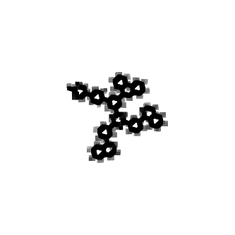 Cc1ncc(-c2ccc(-c3cc(-c4nc(-c5cccc(-c6nccc7ccccc67)c5)nc(-c5cccc(-c6nccc7ccccc67)c5)n4)cc(-c4cc5ccccc5c5ccccc45)c3)cc2)cn1